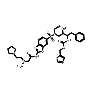 CC(C)CN(CC(O)C(Cc1ccccc1)NC(=O)OCc1cncs1)S(=O)(=O)c1ccc2nc(NC(=O)CN(C)CCN3CCCC3)oc2c1